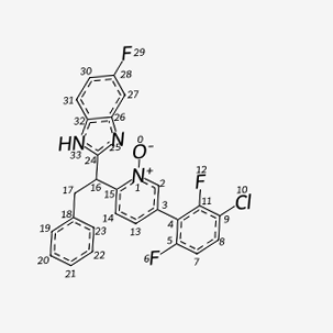 [O-][n+]1cc(-c2c(F)ccc(Cl)c2F)ccc1C(Cc1ccccc1)c1nc2cc(F)ccc2[nH]1